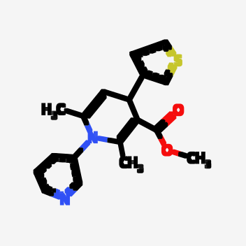 COC(=O)C1=C(C)N(c2cccnc2)C(C)=CC1c1ccsc1